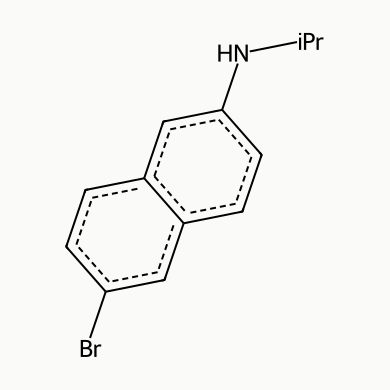 CC(C)Nc1ccc2cc(Br)ccc2c1